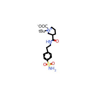 CC(C)(C)[N+]1(C(=O)[O-])CCCC(C(=O)NCCc2ccc(S(N)(=O)=O)cc2)C1